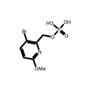 COc1ccc(Br)c(COP(=O)(O)O)n1